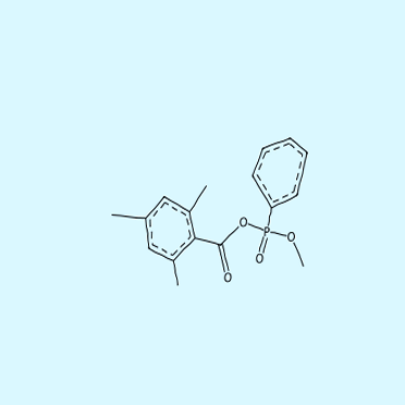 COP(=O)(OC(=O)c1c(C)cc(C)cc1C)c1ccccc1